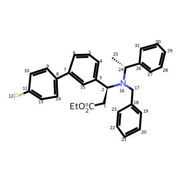 CCOC(=O)C[C@@H](c1cccc(-c2ccc(F)cc2)c1)N(Cc1ccccc1)[C@H](C)c1ccccc1